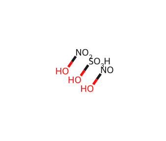 O=NO.O=S(=O)(O)O.O=[N+]([O-])O